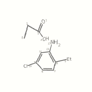 CCC(=O)O.CCc1ccc(Cl)cc1N